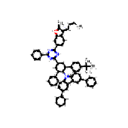 C=c1oc2cc(-c3nc(-c4ccccc4)nc(-c4cc(-c5ccccc5)c(-n5c6ccc(-c7ccccc7)cc6c6cc(-c7ccccc7)ccc65)c(-c5ccc(C(C)(C)C)cc5)c4)n3)ccc2/c1=C/C=C\C